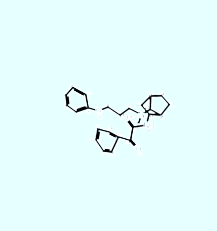 CN(CCCOc1ccccc1)C1C2CCC1C(NC(=O)C(=O)c1ccccc1)C2